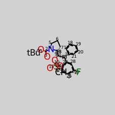 CC(C)(C)OC(=O)N1CCC[C@@H]1[C@H](OS(C)(=O)=O)[C@H](c1ccccc1)c1cccc(F)c1